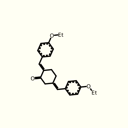 CCOc1ccc(C=C2CCC(=Cc3ccc(OCC)cc3)C(=O)C2)cc1